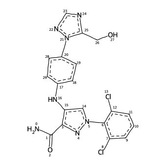 NC(=O)c1nn(-c2c(Cl)cccc2Cl)cc1Nc1ccc(-n2ncnc2CO)cc1